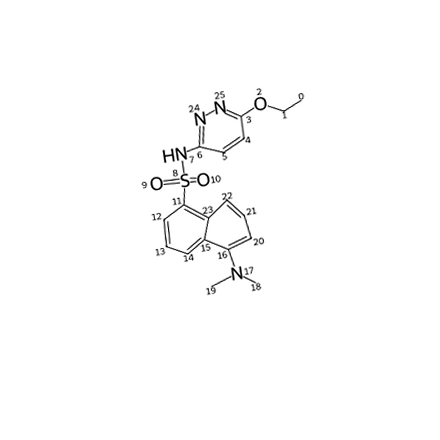 CCOc1ccc(NS(=O)(=O)c2cccc3c(N(C)C)cccc23)nn1